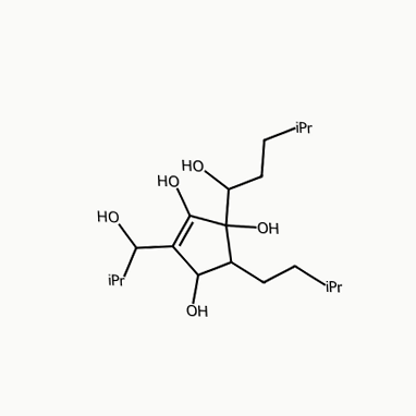 CC(C)CCC(O)C1(O)C(O)=C(C(O)C(C)C)C(O)C1CCC(C)C